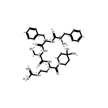 CC(=O)C1(N)CCN(C(=O)[C@@H](CCNC(=N)N)NC(=O)[C@@H](CC(C)C)NC(=O)[C@@H](Cc2ccccc2)NC(=O)[C@H](N)Cc2ccccc2)CC1